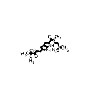 CN(C)CCN(C)C(=O)c1cc2cc(/C=C/C(=O)C(C)(C)C)[nH]c2[nH]1